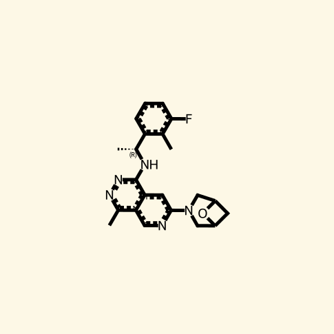 Cc1c(F)cccc1[C@@H](C)Nc1nnc(C)c2cnc(N3CC4CC(C3)O4)cc12